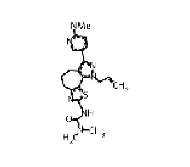 C=CCn1nc(-c2ccc(NC)nc2)c2c1-c1sc(NC(=O)N(C)C)nc1CCC2